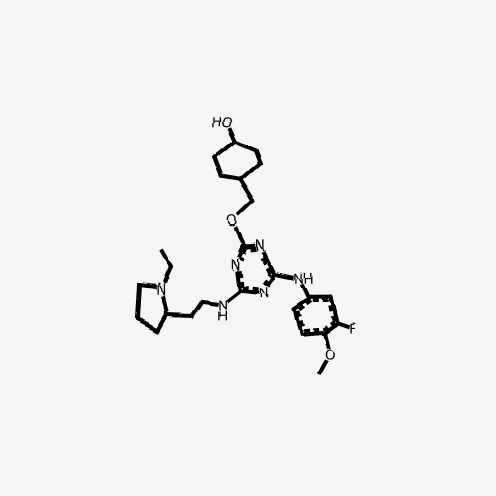 CCN1CCCC1CCNc1nc(Nc2ccc(OC)c(F)c2)nc(OCC2CCC(O)CC2)n1